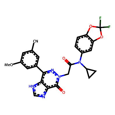 COc1cc(C#N)cc(-c2nn(CC(=O)N(c3ccc4c(c3)OC(F)(F)O4)C3CC3)c(=O)c3nc[nH]c23)c1